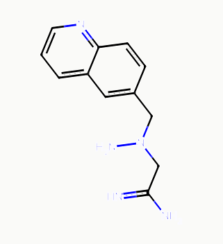 N=C(N)CN(N)Cc1ccc2ncccc2c1